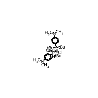 CN(C)c1ccc([PH]([Ni]([Cl])[PH](c2ccc(N(C)C)cc2)(C(C)(C)C)C(C)(C)C)(C(C)(C)C)C(C)(C)C)cc1